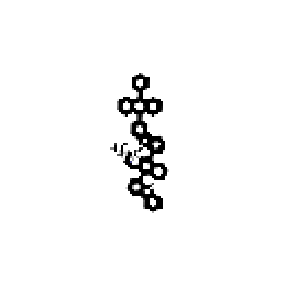 C=C/C=C\c1c(C)c(-c2cccc3c2sc2ccc(-c4c5ccccc5c(-c5ccccc5)c5ccccc45)cc23)c2ccccc2c1-c1cccc2c1sc1ccccc12